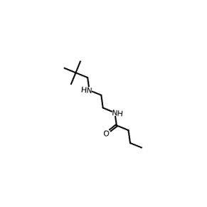 CCCC(=O)NCCNCC(C)(C)C